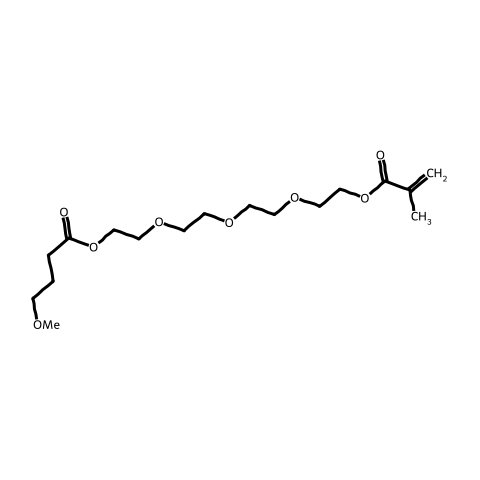 C=C(C)C(=O)OCCOCCOCCOCCOC(=O)CCCOC